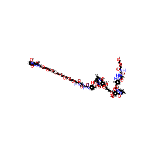 COCCOCCC(=O)NCC(=O)N[C@@H](C)C(=O)Nc1ccc(COC(=O)N2CC3CC(C)=CN3C(=O)c3cc(OC)c(OCCCCCOc4cc5c(cc4OC)C(=O)N4C=C(C)C[C@H]4[C@H](O)N5C(=O)OCc4ccc(NC(=O)CNC(=O)CNC(=O)CCOCCOCCOCCOCCOCCOCCOCCOCCNC(=O)CCN5C(=O)C=CC5=O)cc4)cc32)cc1